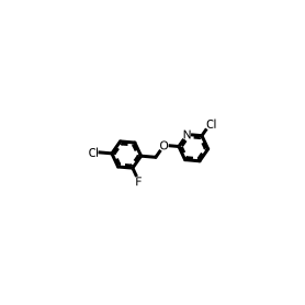 Fc1cc(Cl)ccc1COc1cccc(Cl)n1